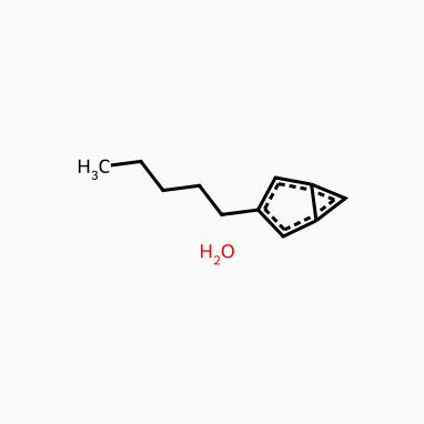 CCCCCc1cc2cc-2c1.O